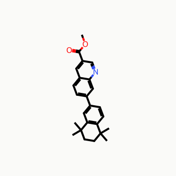 COC(=O)c1cnc2cc(-c3ccc4c(c3)C(C)(C)CCC4(C)C)ccc2c1